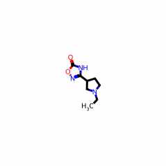 CCN1CCC(c2noc(=O)[nH]2)C1